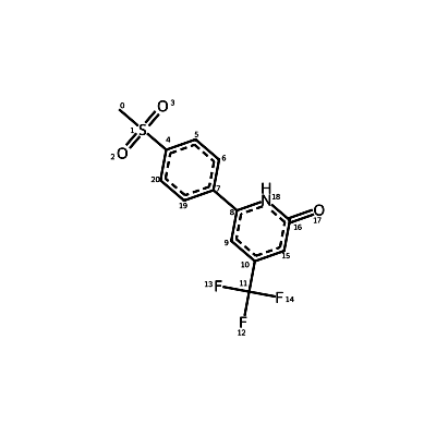 CS(=O)(=O)c1ccc(-c2cc(C(F)(F)F)cc(=O)[nH]2)cc1